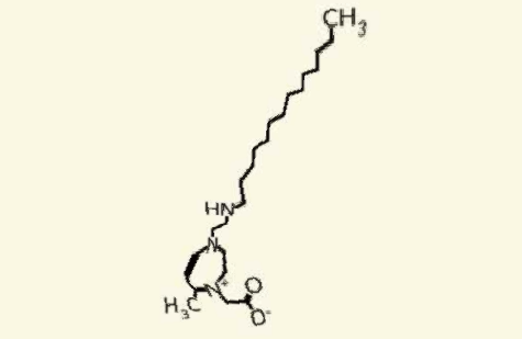 CCCCCCCCCCCCCCNCCN1C#CC(C)=[N+](CC(=O)[O-])CC1